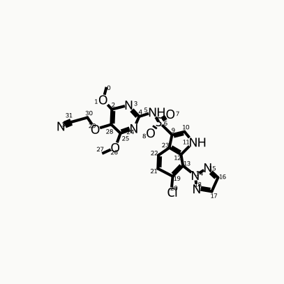 COc1nc(NS(=O)(=O)c2c[nH]c3c(-n4nccn4)c(Cl)ccc23)nc(OC)c1OCC#N